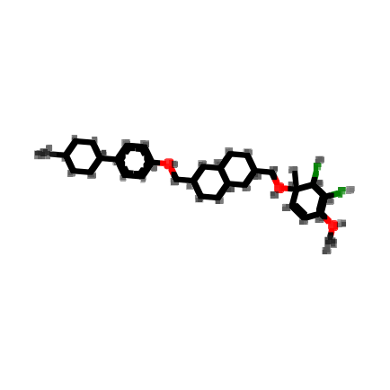 CCCC1CCC(c2ccc(OCC3CCC4CC(COC5(C)C=CC(OCC)=C(F)C5F)CCC4C3)cc2)CC1